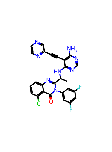 CC(Nc1ncnc(N)c1C#Cc1cnccn1)c1nc2cccc(Cl)c2c(=O)n1-c1cc(F)cc(F)c1